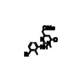 COCc1cc(=O)n(C)c(Nc2cccc(Br)c2C)n1